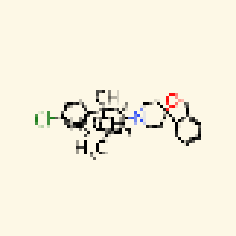 CC(C)=CC(CC(C)(C)c1ccc(Cl)cc1)N1CCC2(CC1)OCc1ccccc12